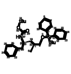 C[C@H](CO[Si](c1ccccc1)(c1ccccc1)C(C)(C)C)C[C@H](Cc1ccccc1)NC(=O)OC(C)(C)C